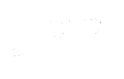 CCCCC/C=C\C/C=C\CCCCCCCCN(CCSCCCCCCCC/C=C\CCCCCCCC)S(=O)(=O)CCN(C)C